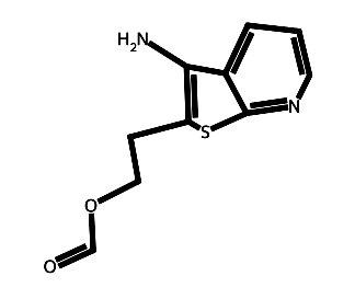 Nc1c(CCOC=O)sc2ncccc12